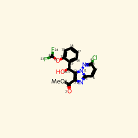 COC(=O)c1nc2ccc(Cl)nn2c1C(O)c1ccccc1OC(F)F